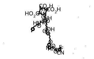 Cc1ccc(CCCC(=O)NCCSCC(NC(=O)CN2CCN(CC(=O)O)CCN(CC(=O)O)CCN(CC(=O)O)CC2)C(=O)NCCSCC(O)C(=O)N2CCC(CCCCOc3ccc4nccc(C(=O)NCC(=O)N5CC(F)(F)C[C@@H]5C#N)c4c3)CC2)cc1